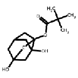 CC(C)(C)C(=O)OC12CC3CC(O)(CC1(O)C3)C2